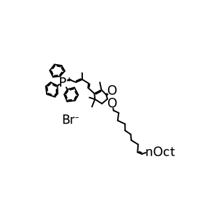 CCCCCCCC/C=C\CCCCCCCCO[C@H]1CC(C)(C)C(C=CC(C)=CC[P+](c2ccccc2)(c2ccccc2)c2ccccc2)=C(C)C1=O.[Br-]